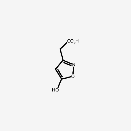 O=C(O)Cc1cc(O)on1